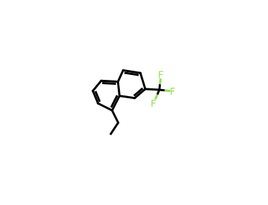 CCc1cccc2ccc(C(F)(F)F)cc12